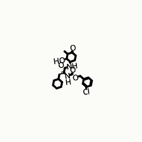 CC1C(=O)CCC(NC(=O)[C@H](CC2CCCCC2)NC(=O)OCc2cccc(Cl)c2)C1O